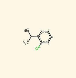 CCC(C)C(C)c1ccccc1Cl